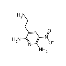 NCCc1cc([N+](=O)[O-])c(N)nc1N